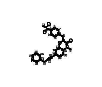 CN1C(=O)C(Cc2ccc(S(C)(=O)=O)cc2)Sc2cc(C#CCc3cccnc3)ccc21